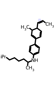 C/C=C\C1C=CC(c2ccc(NC(C)CCCCC(C)C)cc2)=CC1C